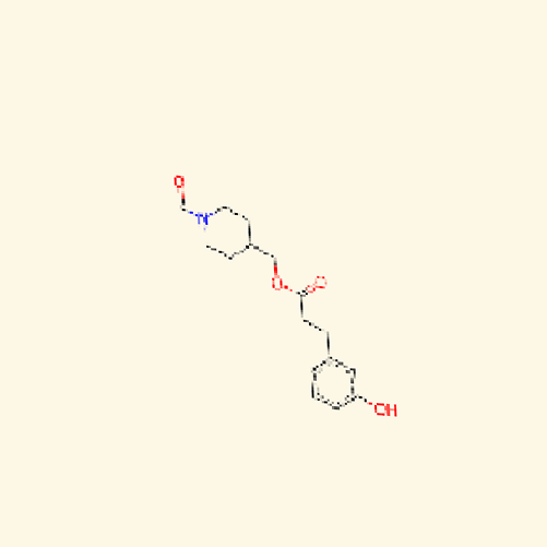 O=CN1CCC(COC(=O)CCc2cccc(O)c2)CC1